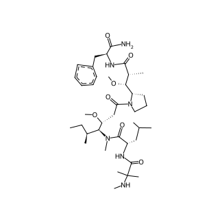 CC[C@H](C)[C@@H]([C@@H](CC(=O)N1CCC[C@H]1[C@H](OC)[C@@H](C)C(=O)N[C@@H](Cc1ccccc1)C(N)=O)OC)N(C)C(=O)[C@H](CC(C)C)NC(=O)C(C)(C)NC